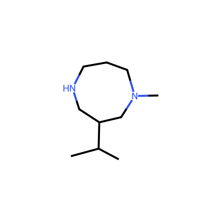 CC(C)C1CNCCCN(C)C1